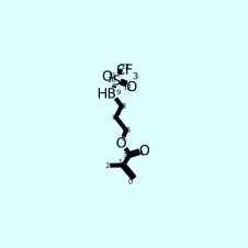 C=C(C)C(=O)OCCCBS(=O)(=O)C(F)(F)F